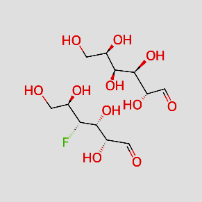 O=C[C@H](O)[C@@H](O)[C@H](F)[C@H](O)CO.O=C[C@H](O)[C@H](O)[C@@H](O)[C@H](O)CO